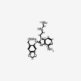 CNCc1cc2c(cc1Sc1nc3c(N)nccc3n1CCNCC(C)(C)C)OCO2